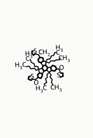 C=C(c1ccc2c(c1)C(CCCCCC)(CCCCCC)c1c-2c2c(c3c1-c1ccc(C(=O)c4cccs4)cc1C3(CCCCCC)CCCCCC)-c1ccc(C(=O)c3cccs3)cc1C2(CCCCCC)CCCCCC)c1cccs1